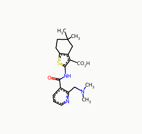 CN(C)Cc1ncccc1C(=O)Nc1sc2c(c1C(=O)O)CC(C)(C)CC2